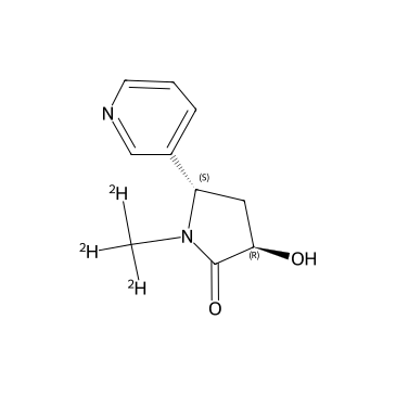 [2H]C([2H])([2H])N1C(=O)[C@H](O)C[C@H]1c1cccnc1